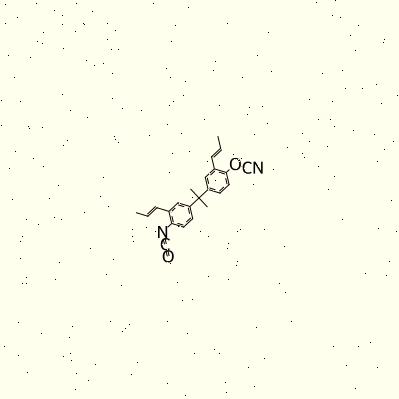 C/C=C/c1cc(C(C)(C)c2ccc(OC#N)c(/C=C/C)c2)ccc1N=C=O